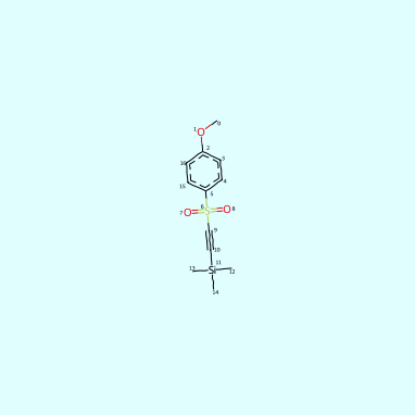 COc1ccc(S(=O)(=O)C#C[Si](C)(C)C)cc1